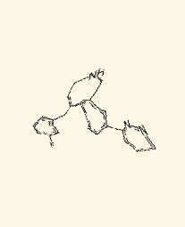 Fc1cccc(C2=CCNCc3cc(-c4cccnn4)ccc32)c1